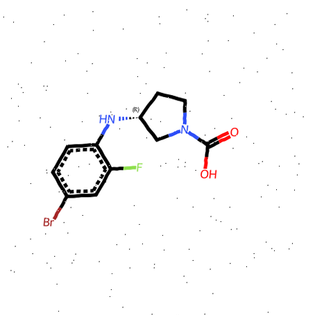 O=C(O)N1CC[C@@H](Nc2ccc(Br)cc2F)C1